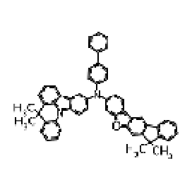 CC1(C)c2ccccc2-c2cc3c(cc21)oc1cc(N(c2ccc(-c4ccccc4)cc2)c2ccc4c(c2)c2cccc5c2n4-c2ccccc2C5(C)C)ccc13